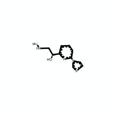 CC(C)(C)NC[C@H](O)c1cccc(-n2ccnc2)n1